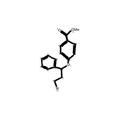 COC(=O)c1ccc(OC([CH]CBr)c2ccccc2)cc1